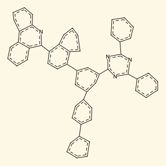 c1ccc(-c2ccc(-c3cc(-c4nc(-c5ccccc5)nc(-c5ccccc5)n4)cc(-c4ccc(-c5nc6ccccc6c6ccccc56)c5ccccc45)c3)cc2)cc1